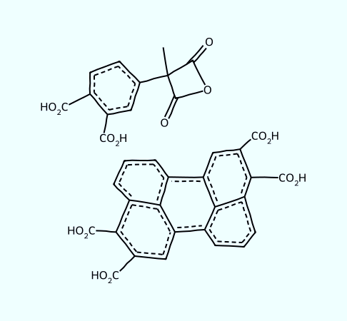 CC1(c2ccc(C(=O)O)c(C(=O)O)c2)C(=O)OC1=O.O=C(O)c1cc2c3cccc4c(C(=O)O)c(C(=O)O)cc(c5cccc(c1C(=O)O)c52)c43